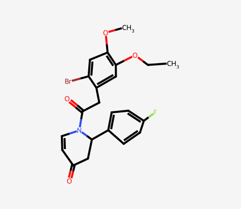 CCOc1cc(CC(=O)N2C=CC(=O)CC2c2ccc(F)cc2)c(Br)cc1OC